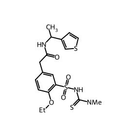 CCOc1ccc(CC(=O)NC(C)c2ccsc2)cc1S(=O)(=O)NC(=S)NC